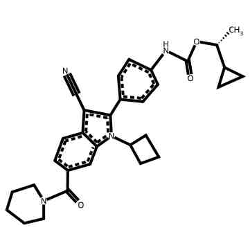 C[C@@H](OC(=O)Nc1ccc(-c2c(C#N)c3ccc(C(=O)N4CCCCC4)cc3n2C2CCC2)cc1)C1CC1